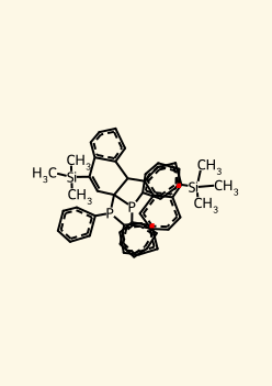 C[Si](C)(C)C1=CC(P(c2ccccc2)c2ccccc2)(P(c2ccccc2)c2ccccc2)C(c2ccc([Si](C)(C)C)c3ccccc23)c2ccccc21